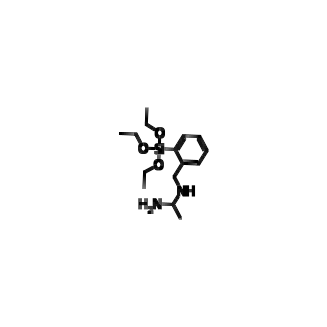 CCO[Si](OCC)(OCC)c1ccccc1CNC(C)N